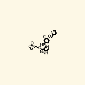 O=C1OCCN1CCOc1n[nH]c2ccnc(Nc3ccc(OCc4ccccn4)c(Cl)c3)c12